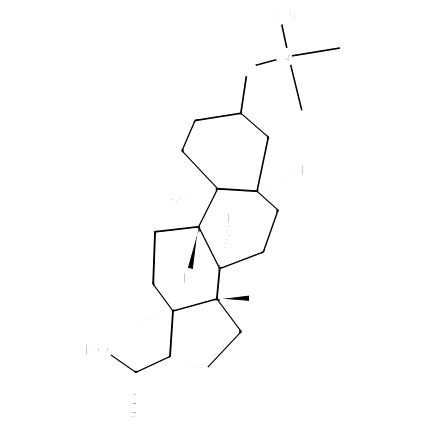 C[C@H](O)[C@H]1CC[C@H]2[C@@H]3CC[C@@H]4CC(O[Si](C)(C)C(C)(C)C)CC[C@]4(C)[C@H]3CC[C@]12C